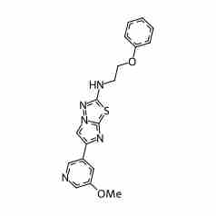 COc1cncc(-c2cn3nc(NCCOc4ccccc4)sc3n2)c1